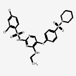 CCNc1nc(NS(=O)(=O)c2ccc(Cl)cc2Cl)ncc1Sc1ccc(S(=O)(=O)N2CCCCC2)cc1